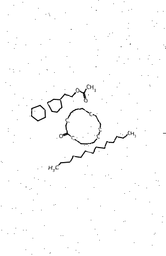 CC(=O)OCCC1CCCCC1.CCCCCCCCCCCCCC.O=C1CCCCCCCCCCCCCC1.[CH]1CCCCC1